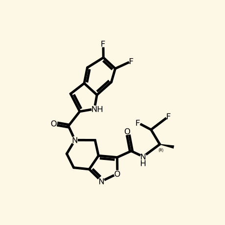 C[C@@H](NC(=O)c1onc2c1CN(C(=O)c1cc3cc(F)c(F)cc3[nH]1)CC2)C(F)F